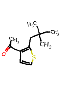 CC(=O)c1ccsc1CC(C)(C)C